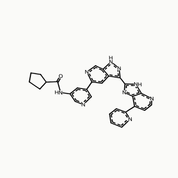 O=C(Nc1cncc(-c2cc3c(-c4nc5c(-c6ccccn6)ccnc5[nH]4)n[nH]c3cn2)c1)C1CCCC1